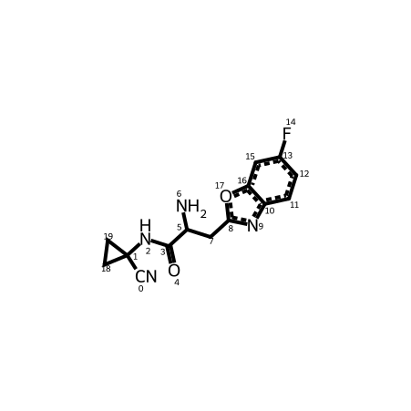 N#CC1(NC(=O)C(N)Cc2nc3ccc(F)cc3o2)CC1